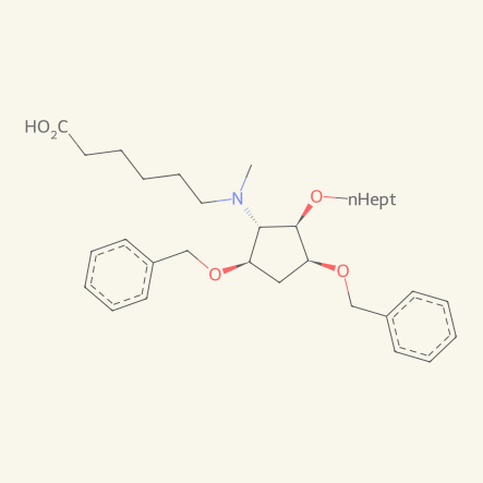 CCCCCCCO[C@@H]1[C@@H](N(C)CCCCCC(=O)O)[C@H](OCc2ccccc2)C[C@@H]1OCc1ccccc1